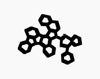 c1ccc(-c2nc(-n3c4ccc5ccccc5c4c4c5c6cccc7c8ccccc8n(c76)c5c5ccccc5c43)nc3ccccc23)cc1